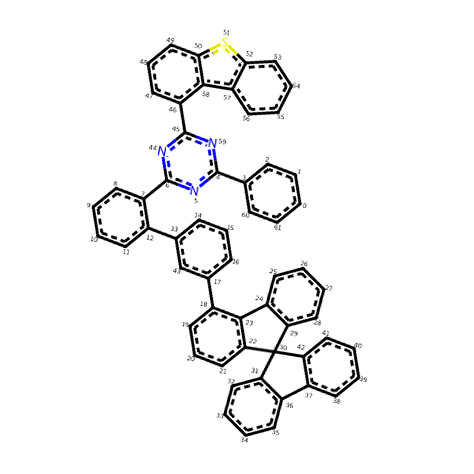 c1ccc(-c2nc(-c3ccccc3-c3cccc(-c4cccc5c4-c4ccccc4C54c5ccccc5-c5ccccc54)c3)nc(-c3cccc4sc5ccccc5c34)n2)cc1